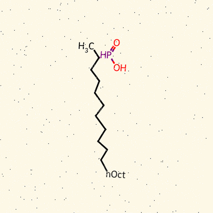 CCCCCCCCCCCCCCCCCC(C)[PH](=O)O